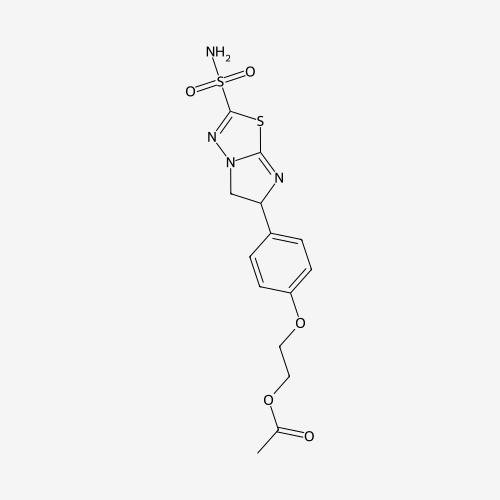 CC(=O)OCCOc1ccc(C2CN3N=C(S(N)(=O)=O)SC3=N2)cc1